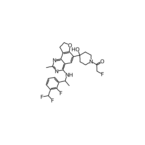 Cc1nc(NC(C)c2cccc(C(F)F)c2F)c2cc(C3(O)CCN(C(=O)CF)CC3)c3c(c2n1)CCO3